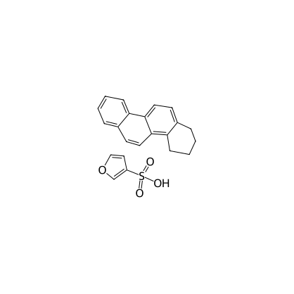 O=S(=O)(O)c1ccoc1.c1ccc2c(c1)ccc1c3c(ccc12)CCCC3